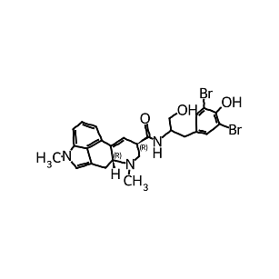 CN1C[C@H](C(=O)NC(CO)Cc2cc(Br)c(O)c(Br)c2)C=C2c3cccc4c3c(cn4C)C[C@H]21